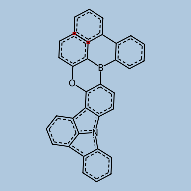 c1ccc(-c2ccccc2B2c3ccccc3Oc3c2ccc2c3c3cccc4c5ccccc5n2c43)cc1